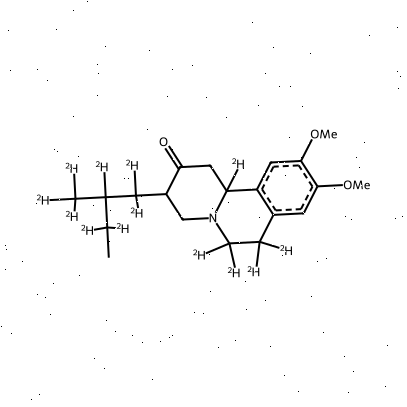 [2H]C12CC(=O)C(C([2H])([2H])C([2H])(C([2H])([2H])[2H])C([2H])([2H])C)CN1C([2H])([2H])C([2H])([2H])c1cc(OC)c(OC)cc12